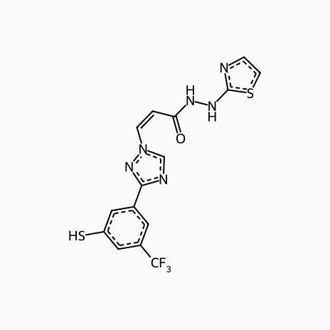 O=C(/C=C\n1cnc(-c2cc(S)cc(C(F)(F)F)c2)n1)NNc1nccs1